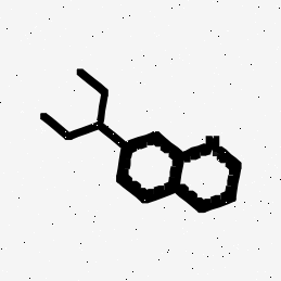 CCC(CC)c1ccc2cccnc2c1